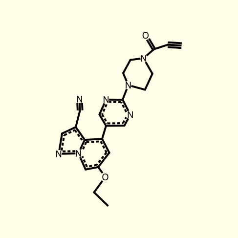 C#CC(=O)N1CCN(c2ncc(-c3cc(OCC)cn4ncc(C#N)c34)cn2)CC1